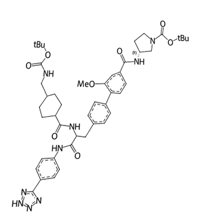 COc1cc(C(=O)N[C@@H]2CCN(C(=O)OC(C)(C)C)C2)ccc1-c1ccc(CC(NC(=O)C2CCC(CNC(=O)OC(C)(C)C)CC2)C(=O)Nc2ccc(-c3nn[nH]n3)cc2)cc1